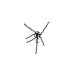 CCCCCCCCCCCC(CCCCCCCC)OP(=O)(OC(CCCCCCCC)CCCCCCCCCCC)OC(CCCCCCCC)CCCCCCCCCCC